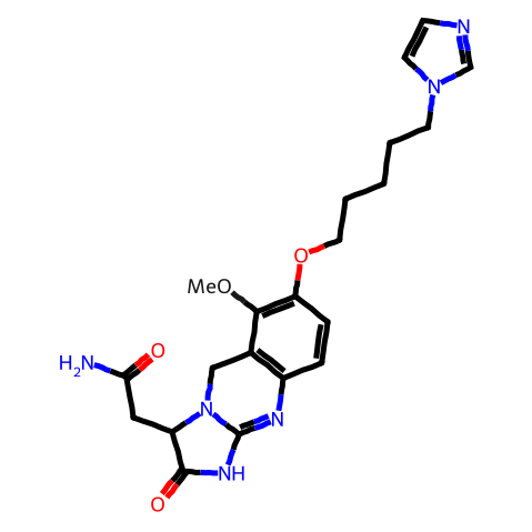 COc1c(OCCCCCn2ccnc2)ccc2c1CN1C(=N2)NC(=O)C1CC(N)=O